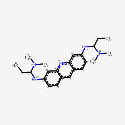 CCC(Nc1ccc2cc3ccc(NC(CC)N(C)C)cc3nc2c1)N(C)C